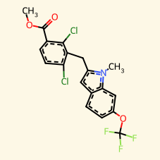 COC(=O)c1ccc(Cl)c(Cc2cc3ccc(OC(F)(F)F)cc3n2C)c1Cl